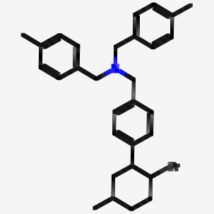 Cc1ccc(CN(Cc2ccc(C)cc2)Cc2ccc(C3CC(C)CCC3C(C)C)cc2)cc1